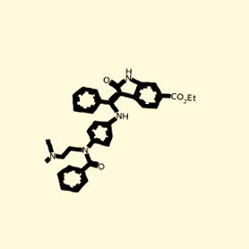 CCOC(=O)c1ccc2c(c1)NC(=O)C2=C(Nc1ccc(N(CCN(C)C)C(=O)c2ccccc2)cc1)c1ccccc1